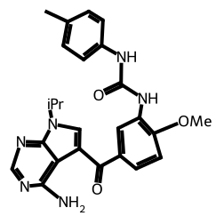 COc1ccc(C(=O)c2cn(C(C)C)c3ncnc(N)c23)cc1NC(=O)Nc1ccc(C)cc1